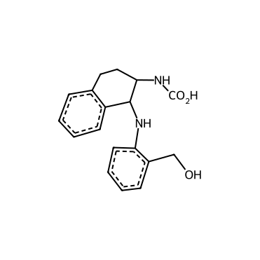 O=C(O)NC1CCc2ccccc2C1Nc1ccccc1CO